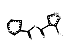 O=C(OC(=O)c1c[nH]nc1C(F)(F)F)c1cccnc1